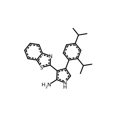 CC(C)c1ccc(-c2c[nH]c(N)c2-c2nc3ccccc3s2)c(C(C)C)c1